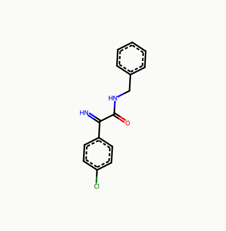 N=C(C(=O)NCc1ccccc1)c1ccc(Cl)cc1